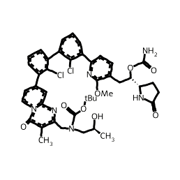 COc1nc(-c2cccc(-c3cccc(-c4ccn5c(=O)c(C)c(CN(C[C@H](C)O)C(=O)OC(C)(C)C)nc5c4)c3Cl)c2Cl)ccc1CC(OC(N)=O)[C@@H]1CCC(=O)N1